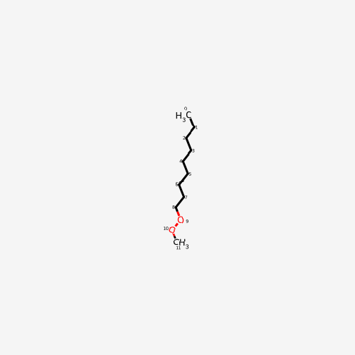 CCCCCCCCCOOC